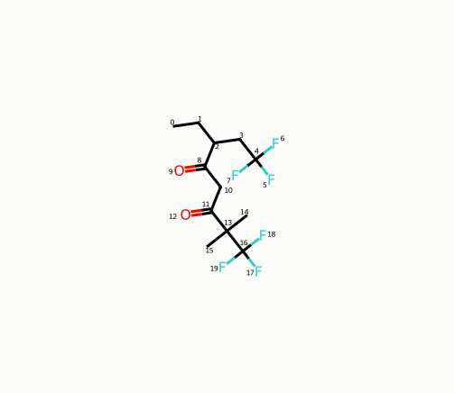 CCC(CC(F)(F)F)C(=O)CC(=O)C(C)(C)C(F)(F)F